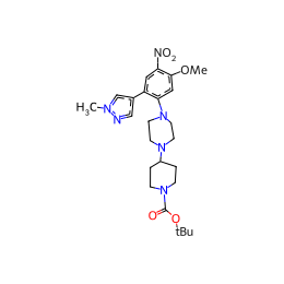 COc1cc(N2CCN(C3CCN(C(=O)OC(C)(C)C)CC3)CC2)c(-c2cnn(C)c2)cc1[N+](=O)[O-]